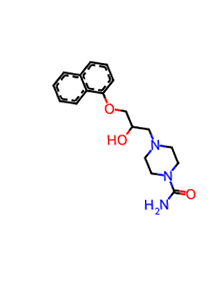 NC(=O)N1CCN(CC(O)COc2cccc3ccccc23)CC1